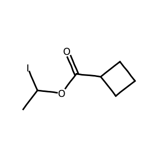 CC(I)OC(=O)C1CCC1